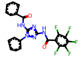 O=C(Nc1nc(NC(=O)c2c(F)c(F)c(F)c(F)c2F)nn1-c1ccccc1)c1ccccc1